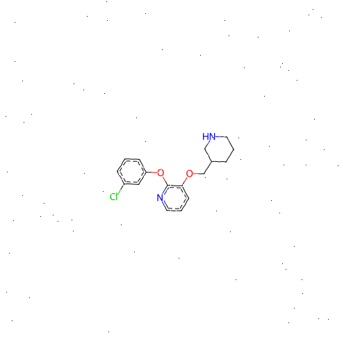 Clc1cccc(Oc2ncccc2OCC2CCCNC2)c1